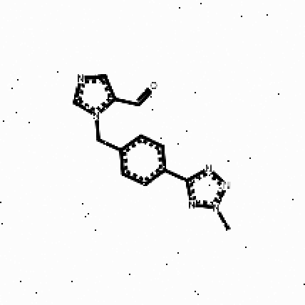 Cn1nnc(-c2ccc(Cn3cncc3C=O)cc2)n1